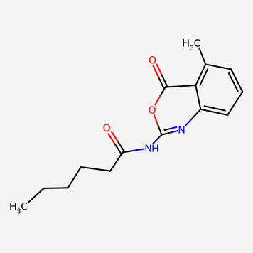 CCCCCC(=O)Nc1nc2cccc(C)c2c(=O)o1